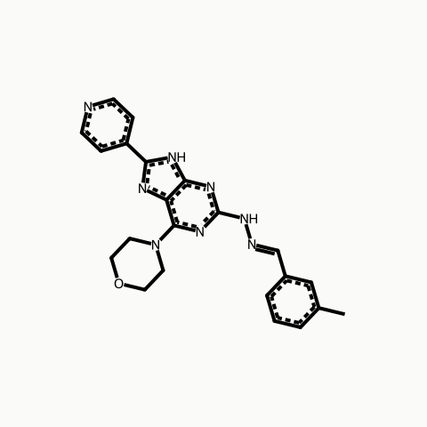 Cc1cccc(C=NNc2nc(N3CCOCC3)c3nc(-c4ccncc4)[nH]c3n2)c1